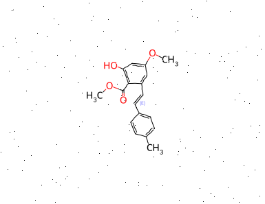 COC(=O)c1c(O)cc(OC)cc1/C=C/c1ccc(C)cc1